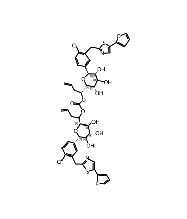 C=CCC(OC(=O)OC(CC=C)[C@@H]1O[C@@H](c2ccc(Cl)c(Cc3ncc(-c4ccco4)s3)c2)[C@H](O)[C@@H](O)[C@@H]1O)[C@@H]1O[C@@H](c2ccc(Cl)c(Cc3ncc(-c4ccco4)s3)c2)[C@H](O)[C@@H](O)[C@@H]1O